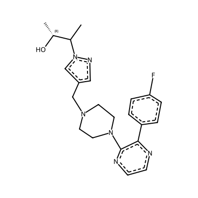 CC([C@@H](C)O)n1cc(CN2CCN(c3nccnc3-c3ccc(F)cc3)CC2)cn1